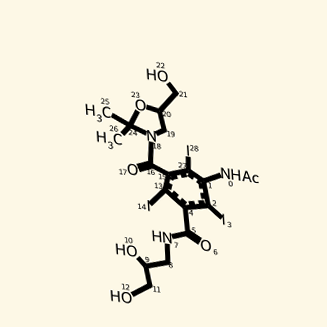 CC(=O)Nc1c(I)c(C(=O)NCC(O)CO)c(I)c(C(=O)N2CC(CO)OC2(C)C)c1I